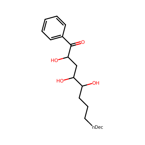 CCCCCCCCCCCCCC(O)C(O)CC(O)C(=O)c1ccccc1